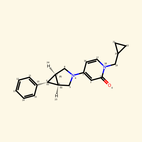 O=c1cc(N2C[C@@H]3[C@H](C2)[C@H]3c2ccccc2)ccn1CC1CC1